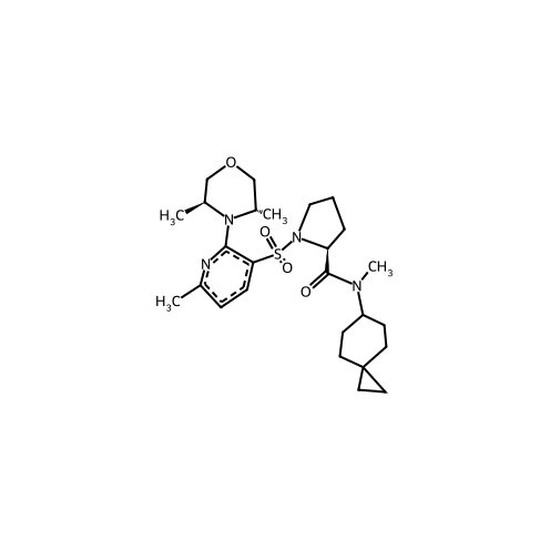 Cc1ccc(S(=O)(=O)N2CCC[C@H]2C(=O)N(C)C2CCC3(CC2)CC3)c(N2[C@@H](C)COC[C@@H]2C)n1